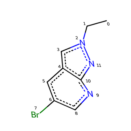 CCn1cc2cc(Br)cnc2n1